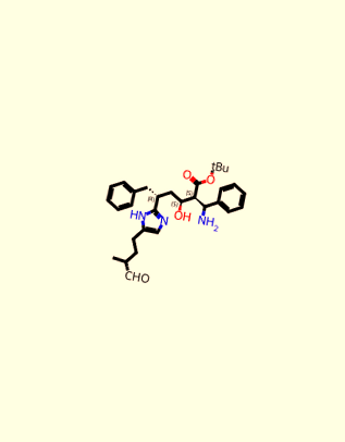 CC(C=O)CCc1cnc([C@H](Cc2ccccc2)C[C@H](O)[C@@H](C(=O)OC(C)(C)C)C(N)c2ccccc2)[nH]1